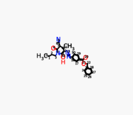 CCCCN1C(=O)C(C#N)C(C)C(/N=N/c2ccc(C(=O)OCc3ccccc3)cc2)=C1O